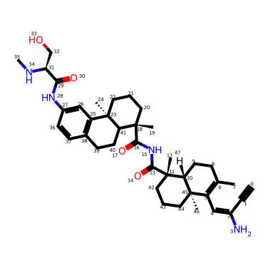 C#C/C(N)=C\C1=C(C)CC[C@H]2[C@@](C)(C(=O)NC(=O)[C@@]3(C)CCC[C@]4(C)c5cc(NC(=O)[C@H](CO)NC)ccc5CCC34)CCC[C@]12C